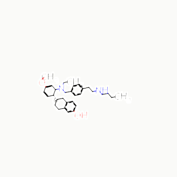 CCCCNCCc1ccc(CN(CC)C2C=C(OC)C=CC2[C@@H]2CCc3cc(O)ccc3C2)cc1